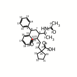 CC(=O)NC(C)C(CC(c1ccccc1)c1ccccc1)C(C=O)CCC1(C(=O)O)CCCC1